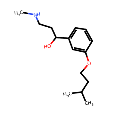 CNCCC(O)c1cccc(OCCC(C)C)c1